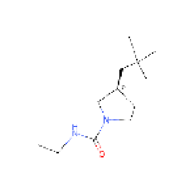 CCNC(=O)N1CC[C@H](CC(C)(C)C)C1